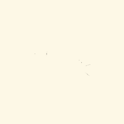 C=CC(=O)N(C)CCCCCC(=O)OC(C)(C)C